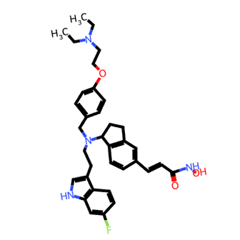 CCN(CC)CCOc1ccc(CN(CCc2c[nH]c3cc(F)ccc23)C2CCc3cc(/C=C/C(=O)NO)ccc32)cc1